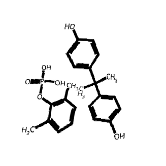 CC(C)(c1ccc(O)cc1)c1ccc(O)cc1.Cc1cccc(C)c1OP(=O)(O)O